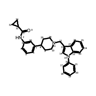 O=C(Nc1cccc(C2CCN(Cc3cn(-c4ccccc4)c4ccccc34)CC2)c1)C1CC1